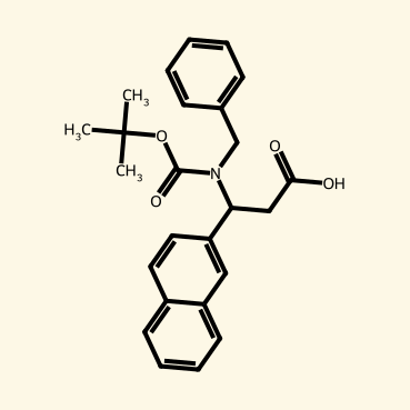 CC(C)(C)OC(=O)N(Cc1ccccc1)C(CC(=O)O)c1ccc2ccccc2c1